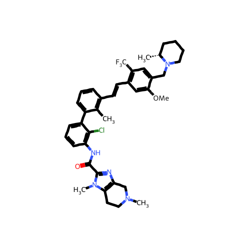 COc1cc(/C=C/c2cccc(-c3cccc(NC(=O)c4nc5c(n4C)CCN(C)C5)c3Cl)c2C)c(C(F)(F)F)cc1CN1CCCC[C@H]1C